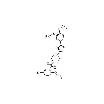 COc1ccc(-c2csc(N3CCC(S(=O)(=O)c4cc(Br)ccc4OC)CC3)n2)cc1OC